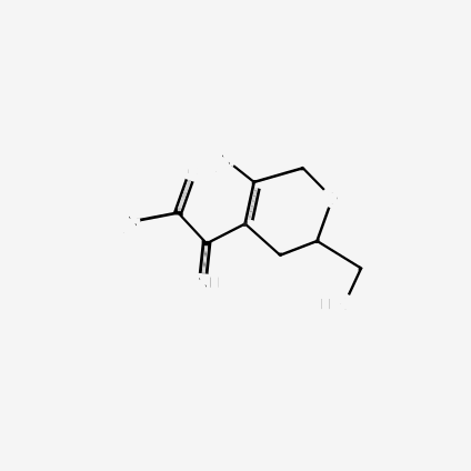 CCC1CC(C(=N)C(N)=O)=C(N)CO1